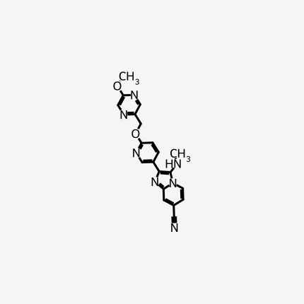 CNc1c(-c2ccc(OCc3cnc(OC)cn3)nc2)nc2cc(C#N)ccn12